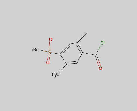 CCC(C)S(=O)(=O)c1cc(C)c(C(=O)Cl)cc1C(F)(F)F